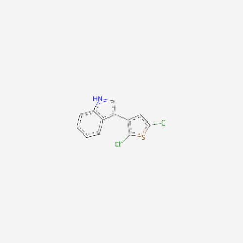 Clc1cc(-c2c[nH]c3ccccc23)c(Cl)s1